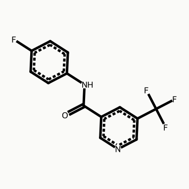 O=C(Nc1ccc(F)cc1)c1cncc(C(F)(F)F)c1